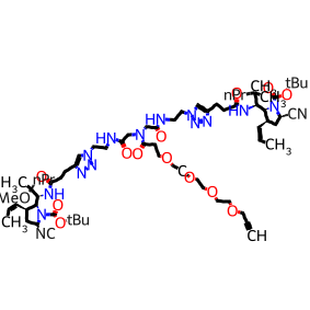 [C-]#[N+][C@H]1C[C@@H](/C=C\C)[C@H]([C@@H](NC(=O)CCc2cn(CCNC(=O)CN(CC(=O)NCCn3cc(CCC(=O)N[C@H]([C@H]4[C@H](/C=C\C)C[C@H](C#N)N4C(=O)OC(C)(C)C)C(C)(C)CCC)nn3)C(=O)CCOCCOCCOCCOCC#C)nn2)[C@](C)(CCC)OC)N1C(=O)OC(C)(C)C